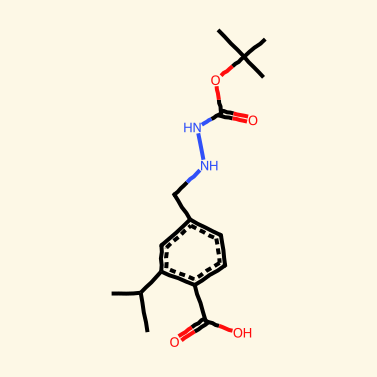 CC(C)c1cc(CNNC(=O)OC(C)(C)C)ccc1C(=O)O